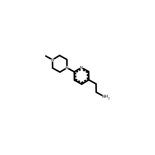 CN1CCN(c2ccc(CCN)cn2)CC1